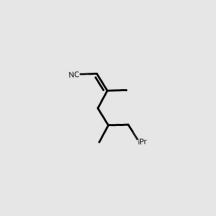 CC(=CC#N)CC(C)CC(C)C